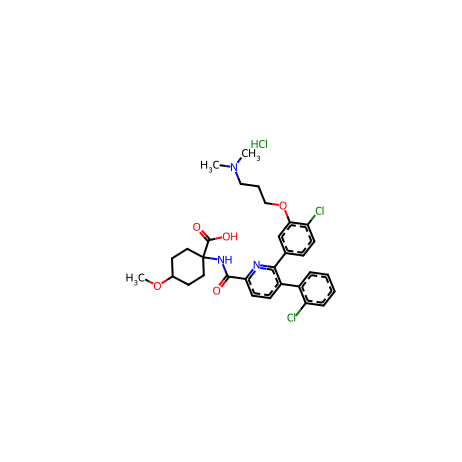 COC1CCC(NC(=O)c2ccc(-c3ccccc3Cl)c(-c3ccc(Cl)c(OCCCN(C)C)c3)n2)(C(=O)O)CC1.Cl